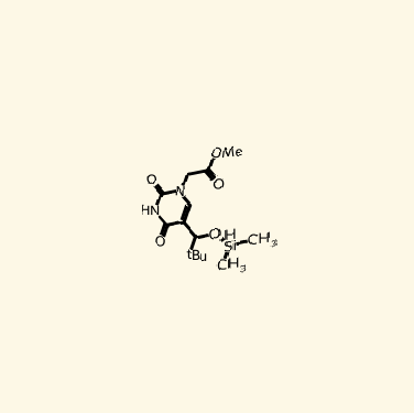 COC(=O)Cn1cc(C(O[SiH](C)C)C(C)(C)C)c(=O)[nH]c1=O